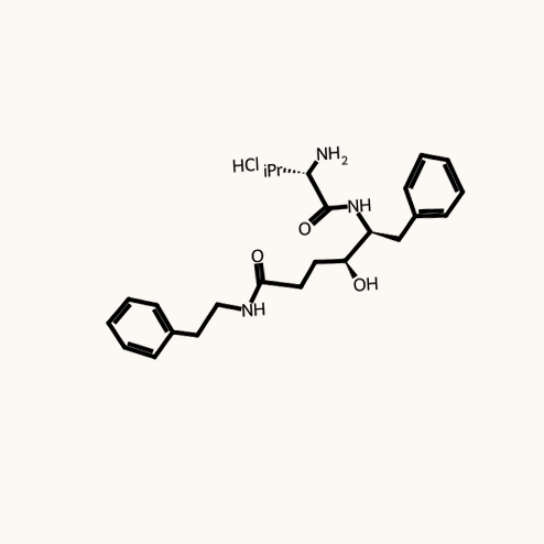 CC(C)[C@H](N)C(=O)N[C@@H](Cc1ccccc1)[C@@H](O)CCC(=O)NCCc1ccccc1.Cl